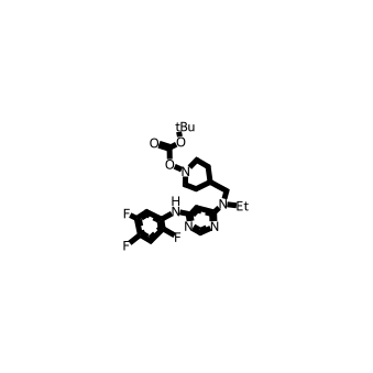 CCN(CC1CCN(OC(=O)OC(C)(C)C)CC1)c1cc(Nc2cc(F)c(F)cc2F)ncn1